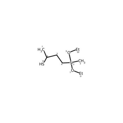 CCO[Si](C)(CCC(C)S)OCC